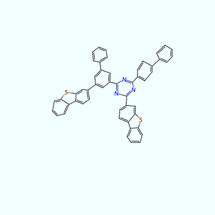 c1ccc(-c2ccc(-c3nc(-c4cc(-c5ccccc5)cc(-c5ccc6c(c5)sc5ccccc56)c4)nc(-c4ccc5c(c4)sc4ccccc45)n3)cc2)cc1